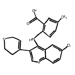 Cc1ccc(Nc2c(C3=CCOCC3)cnc3ccc(Cl)cc23)c(C(=O)O)c1